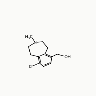 CN1CCc2c(Cl)ccc(CO)c2CC1